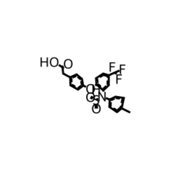 Cc1ccc(N(c2cc(C(F)(F)F)ccc2Oc2ccc(CC(=O)O)cc2)[SH](=O)=O)cc1